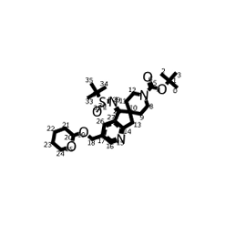 CC(C)(C)OC(=O)N1CCC2(CC1)Cc1ncc(COC3CCCCO3)cc1/C2=N\[S@+]([O-])C(C)(C)C